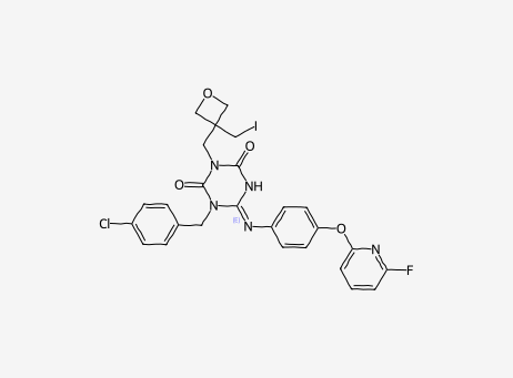 O=c1[nH]/c(=N\c2ccc(Oc3cccc(F)n3)cc2)n(Cc2ccc(Cl)cc2)c(=O)n1CC1(CI)COC1